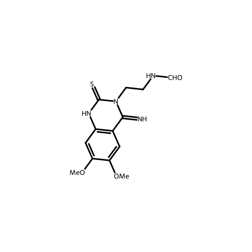 COc1cc2[nH]c(=S)n(CCNC=O)c(=N)c2cc1OC